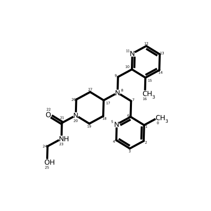 Cc1cccnc1CN(Cc1ncccc1C)C1CCN(C(=O)NCO)CC1